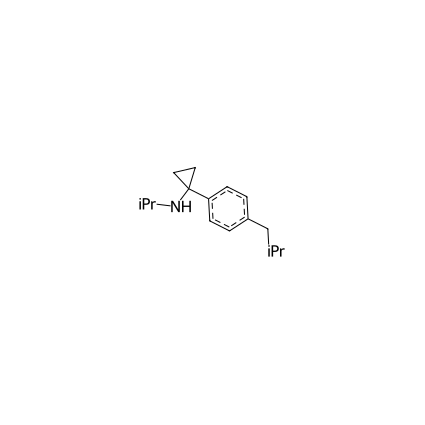 CC(C)Cc1ccc(C2(NC(C)C)CC2)cc1